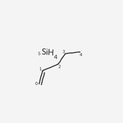 C=CCCC.[SiH4]